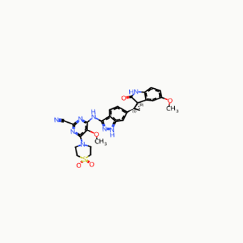 COc1ccc2c(c1)[C@]1(C[C@H]1c1ccc3c(Nc4nc(C#N)nc(N5CCS(=O)(=O)CC5)c4OC)n[nH]c3c1)C(=O)N2